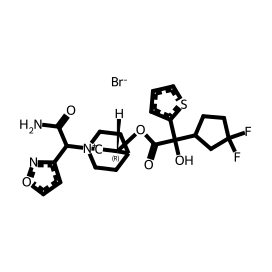 NC(=O)C(c1ccon1)[N+]12CCC(CC1)[C@@H](OC(=O)C(O)(c1cccs1)C1CCC(F)(F)C1)C2.[Br-]